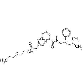 CCCOCCNC(=O)Cc1cn2c(C(=O)NCC(CC(C)C)c3ccccc3)cccc2n1